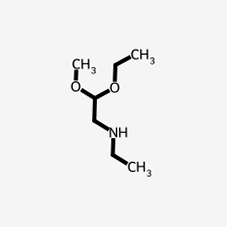 CCNCC(OC)OCC